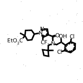 CCOC(=O)C1(C)CCC(n2ncc(C(=O)N(CC(O)c3c(Cl)cccc3Cl)CC3(C)CCC3)c2C(F)(F)F)CC1